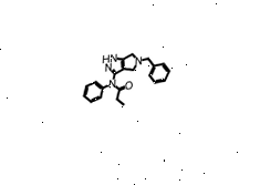 CCC(=O)N(c1ccccc1)c1n[nH]c2c1CN(Cc1ccccc1)C2